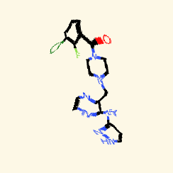 O=C(c1cccc(Cl)c1F)N1CCN(Cc2nccnc2Nc2cc[nH]n2)CC1